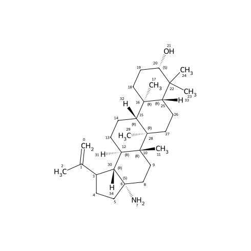 C=C(C)C1CC[C@]2(N)CC[C@]3(C)[C@H](CC[C@@H]4[C@@]5(C)CC[C@H](O)C(C)(C)[C@@H]5CC[C@]43C)[C@@H]12